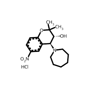 CC1(C)Oc2ccc([N+](=O)[O-])cc2[C@H](N2CCCCCC2)[C@H]1O.Cl